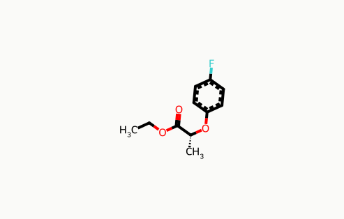 CCOC(=O)[C@@H](C)Oc1ccc(F)cc1